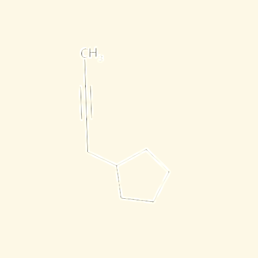 CC#CCC1CCCC1